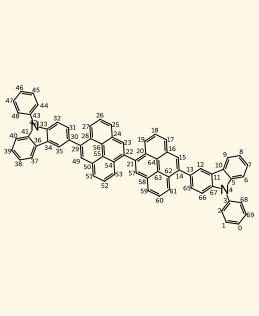 c1ccc(-n2c3ccccc3c3cc(-c4cc5cccc6c(-c7cc8cccc9c(-c%10ccc%11c(c%10)c%10ccccc%10n%11-c%10ccccc%10)cc%10cccc7c%10c89)cc7cccc4c7c56)ccc32)cc1